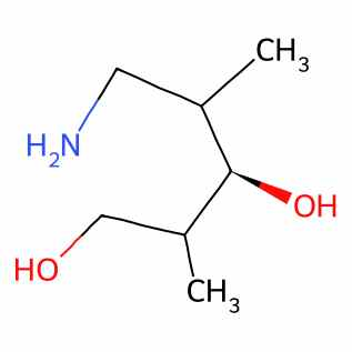 CC(CN)[C@@H](O)C(C)CO